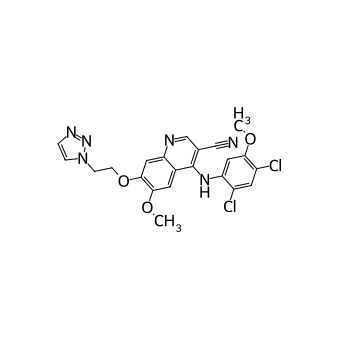 COc1cc(Nc2c(C#N)cnc3cc(OCCn4ccnn4)c(OC)cc23)c(Cl)cc1Cl